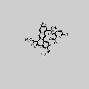 COc1ccc(-c2cc3c([C@H](C)Nc4ccc(Cl)nc4C(=O)O)cc(C)cc3nc2-c2c(C)noc2C)cn1